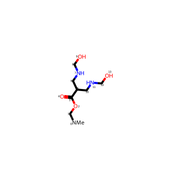 CNCOC(=O)C(CNCO)CNCO